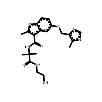 Cc1ncsc1COc1ccc2oc(C)c(C(=O)NC(C)(C)C(=O)NCCO)c2c1